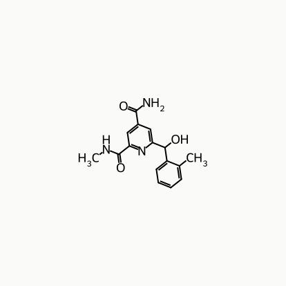 CNC(=O)c1cc(C(N)=O)cc(C(O)c2ccccc2C)n1